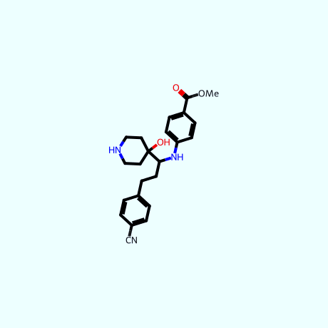 COC(=O)c1ccc(NC(CCc2ccc(C#N)cc2)C2(O)CCNCC2)cc1